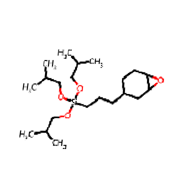 CC(C)CO[Si](CCCC1CCC2OC2C1)(OCC(C)C)OCC(C)C